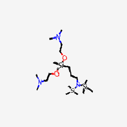 CN(C)CCO[Si](C)(CCCN([Si](C)(C)C)[Si](C)(C)C)OCCN(C)C